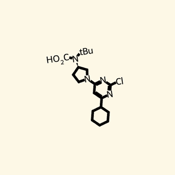 CC(C)(C)N(C(=O)O)[C@H]1CCN(c2cc(C3CCCCC3)nc(Cl)n2)C1